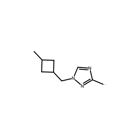 [CH2]c1ncn(CC2CC(C)C2)n1